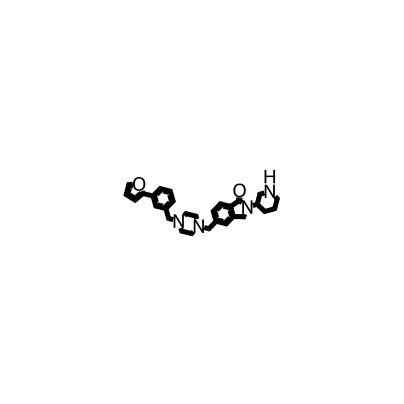 O=C1c2ccc(CN3CCN(Cc4cccc(-c5ccco5)c4)CC3)cc2CN1C1CCCNC1